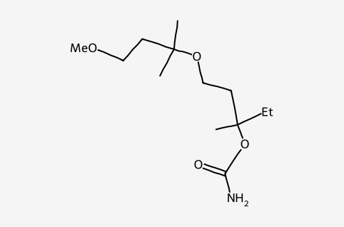 CCC(C)(CCOC(C)(C)CCOC)OC(N)=O